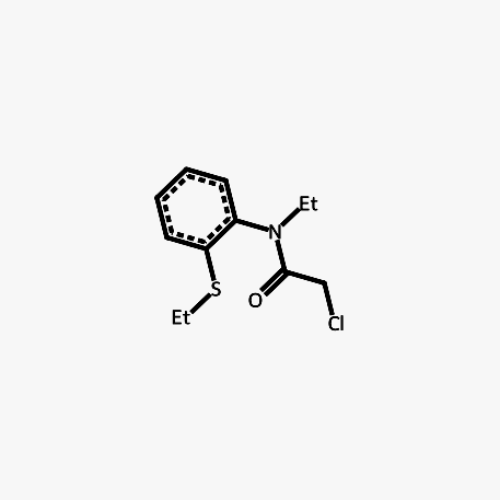 CCSc1ccccc1N(CC)C(=O)CCl